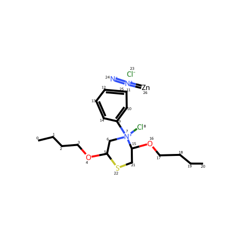 CCCCOC1C[N+](Cl)(c2ccccc2)C(OCCCC)CS1.[Cl-].[N-]=[N+]=[Zn]